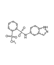 CS(=O)(=O)c1ccccc1S(=O)(=O)Nc1ccc2[nH]ncc2c1